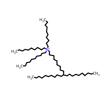 CCCCCCCCCCC(CCCCCCCCCC)CCCCCCCCC[N+](CCCCCCCCCC)(CCCCCCCCCC)CCCCCCCCCC